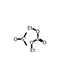 CCOS(=O)OCC.C[S+](C)[O-]